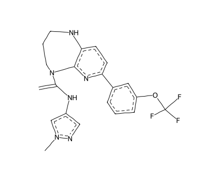 C=C(Nc1cnn(C)c1)N1CCCNc2ccc(-c3cccc(OC(F)(F)F)c3)nc21